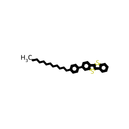 CCCCCCCCCCCCc1ccc(-c2ccc3c(c2)sc2c4ccccc4sc32)cc1